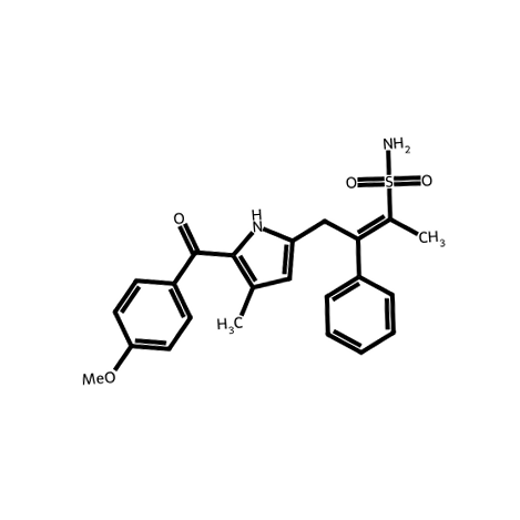 COc1ccc(C(=O)c2[nH]c(CC(=C(C)S(N)(=O)=O)c3ccccc3)cc2C)cc1